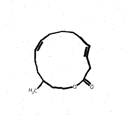 CC1CC/C=C\CCCC/C=C/CC(=O)OCC1